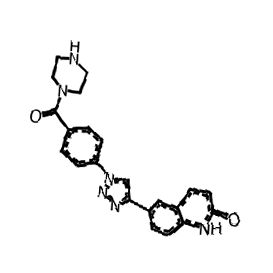 O=C(c1ccc(-n2cc(-c3ccc4[nH]c(=O)ccc4c3)nn2)cc1)N1CCNCC1